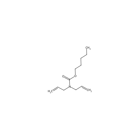 C=CCN(CC=C)C(=O)OCCCCC